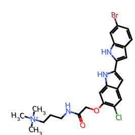 C[N+](C)(C)CCCNC(=O)COc1cc2[nH]c(-c3cc4ccc(Br)cc4[nH]3)cc2cc1Cl